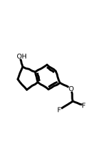 OC1CCc2cc(OC(F)F)ccc21